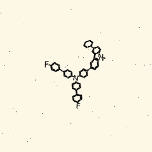 Cn1c2ccc(-c3ccccc3)cc2c2cc(-c3ccc(N(c4ccc(-c5ccc(F)cc5)cc4)c4ccc(-c5ccc(F)cc5)cc4)cc3)ccc21